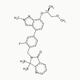 BC1(B)c2ncccc2C(=O)N1Cc1ccc(-c2ccc(O[C@@H](C)COC)c3nn(C)cc23)cc1F